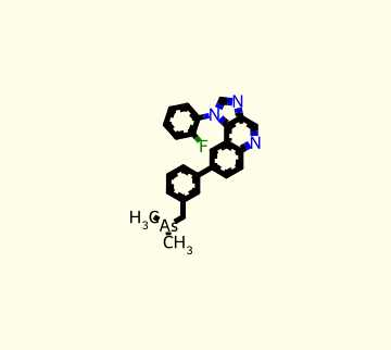 C[As](C)Cc1cccc(-c2ccc3ncc4ncn(-c5ccccc5F)c4c3c2)c1